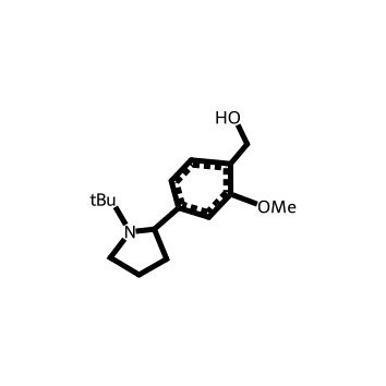 COc1cc(C2CCCN2C(C)(C)C)ccc1CO